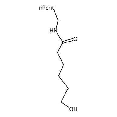 CCCCCCNC(=O)CCCCCO